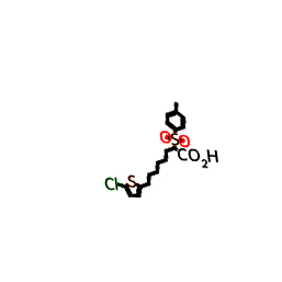 Cc1ccc(S(=O)(=O)C(CCCCCCc2ccc(Cl)s2)C(=O)O)cc1